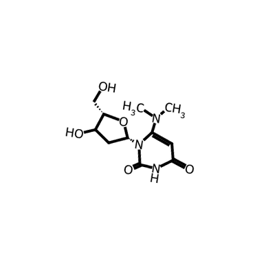 CN(C)c1cc(=O)[nH]c(=O)n1[C@@H]1CC(O)[C@H](CO)O1